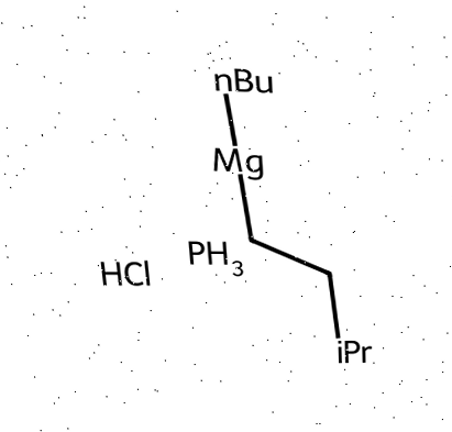 CCC[CH2][Mg][CH2]CC(C)C.Cl.P